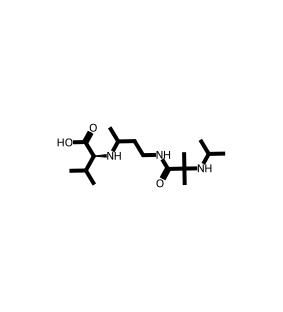 CC(C)NC(C)(C)C(=O)NCCC(C)N[C@H](C(=O)O)C(C)C